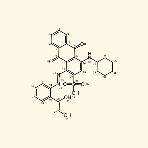 O=C1c2ccccc2C(=O)c2c(N=Nc3ccccc3/C(O)=C/O)c(S(=O)(=O)O)cc(NC3CCCCC3)c21